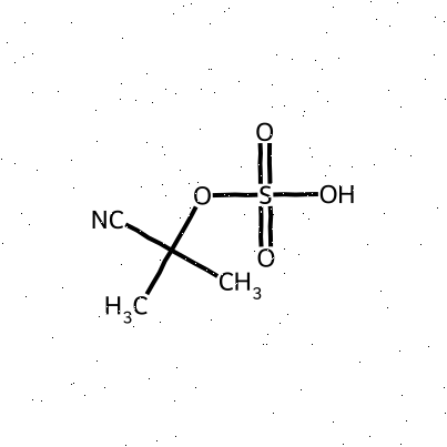 CC(C)(C#N)OS(=O)(=O)O